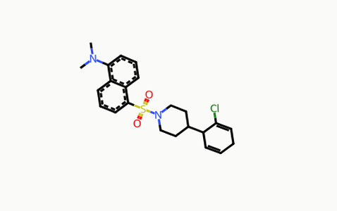 CN(C)c1cccc2c(S(=O)(=O)N3CCC(C4C=CCC=C4Cl)CC3)cccc12